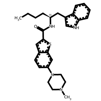 CCCC[C@@H](Cc1c[nH]c2ccccc12)NC(=O)c1cc2ccc(N3CCN(C)CC3)cc2s1